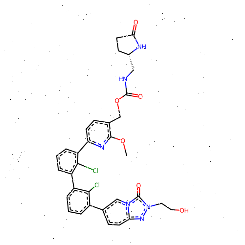 COc1nc(-c2cccc(-c3cccc(-c4ccc5nn(CCO)c(=O)n5c4)c3Cl)c2Cl)ccc1COC(=O)NC[C@@H]1CCC(=O)N1